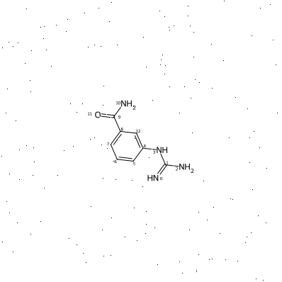 N=C(N)Nc1cccc(C(N)=O)c1